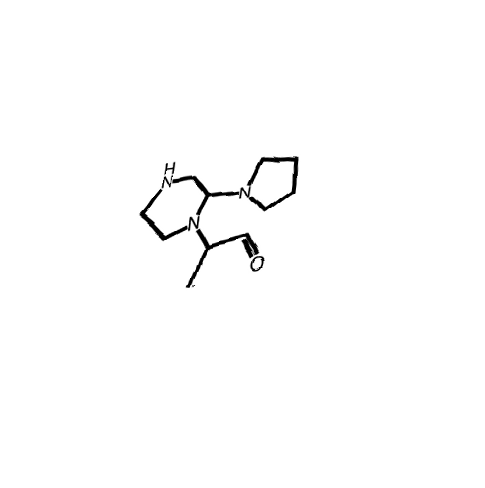 [CH2]C(C=O)N1CCNCC1N1CCCC1